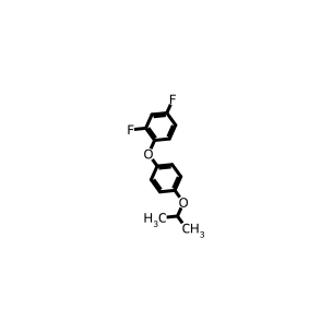 CC(C)Oc1ccc(Oc2ccc(F)cc2F)cc1